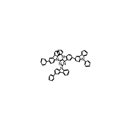 c1ccc(-c2ccc3c(c2)c2ccccc2n3-c2nc(-n3c4ccccc4c4cc(-c5ccccc5)ccc43)c3c(n2)c2cc(-c4ccc5c(c4)c4ccccc4n5-c4ccccc4)ccc2n3-c2ccccc2)cc1